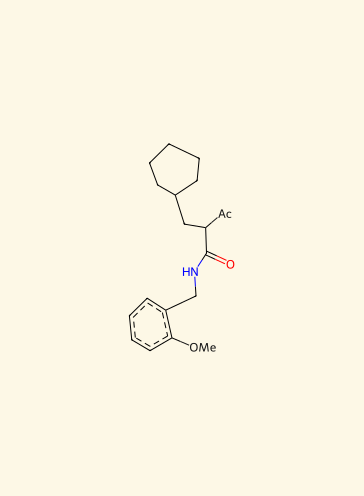 COc1ccccc1CNC(=O)C(CC1CCCCC1)C(C)=O